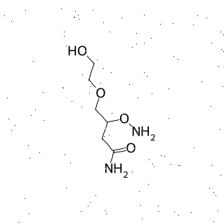 NOC(COCCO)CC(N)=O